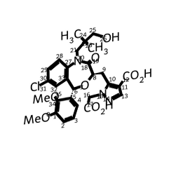 COc1cccc([C@H]2O[C@H](Cc3c(C(=O)O)cnn3CC(=O)O)C(=O)N(CC(C)(C)CO)c3ccc(Cl)cc32)c1OC